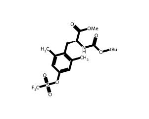 COC(=O)[C@H](Cc1c(C)cc(OS(=O)(=O)C(F)(F)F)cc1C)NC(=O)OC(C)(C)C